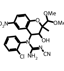 COC(OC)C1(C)Oc2ccc([N+](=O)[O-])cc2C(N(C(N)=NC#N)c2ccccc2Cl)C1O